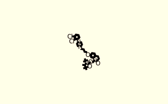 CC(N(C(=O)OCN1C(=O)CCc2ccc(OCCCCN3CCN(c4cccc(Cl)c4Cl)CC3)cc21)C(C)(C)C)C(C)(C)C